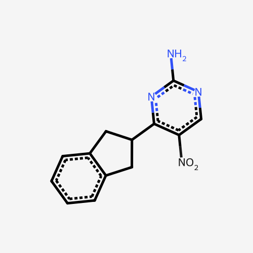 Nc1ncc([N+](=O)[O-])c(C2Cc3ccccc3C2)n1